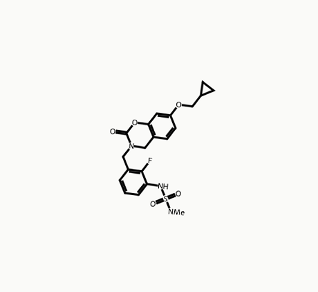 CNS(=O)(=O)Nc1cccc(CN2Cc3ccc(OCC4CC4)cc3OC2=O)c1F